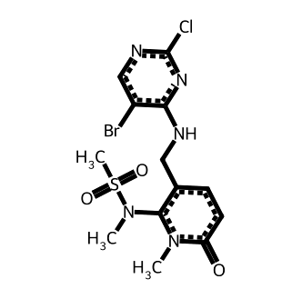 CN(c1c(CNc2nc(Cl)ncc2Br)ccc(=O)n1C)S(C)(=O)=O